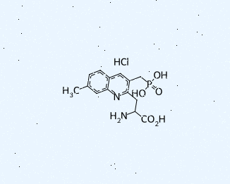 Cc1ccc2cc(CP(=O)(O)O)c(CC(N)C(=O)O)nc2c1.Cl